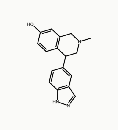 CN1Cc2cc(O)ccc2C(c2ccc3[nH]ncc3c2)C1